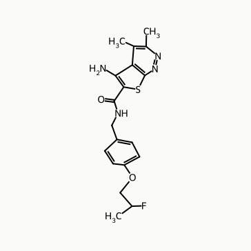 Cc1nnc2sc(C(=O)NCc3ccc(OCC(C)F)cc3)c(N)c2c1C